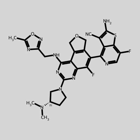 Cc1nc(CNc2nc(N3CC[C@H](N(C)C)C3)nc3c(F)c(-c4ncc(F)c5sc(N)c(C#N)c45)c4c(c23)COC4)no1